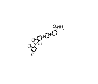 CC(Nc1cc(N2CCN([C@@H]3CCC[C@@H](C(N)=O)C3)CC2)ccc1Cl)c1ccc(Cl)cc1Cl